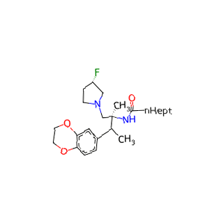 CCCCCCCC(=O)N[C@](C)(CN1CC[C@H](F)C1)C(C)c1ccc2c(c1)OCCO2